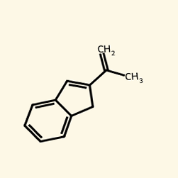 C=C(C)C1=Cc2ccccc2C1